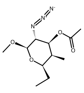 CC[C@H]1O[C@@H](OC)[C@H](N=[N+]=[N-])[C@@H](OC(C)=O)[C@H]1C